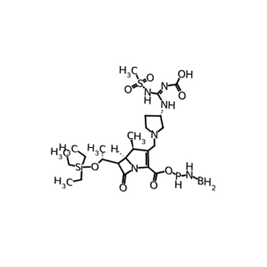 BNPOC(=O)C1=C(CN2CC[C@H](N/C(=N\C(=O)O)NS(C)(=O)=O)C2)[C@H](C)[C@@H]2C([C@@H](C)O[Si](CC)(CC)CC)C(=O)N12